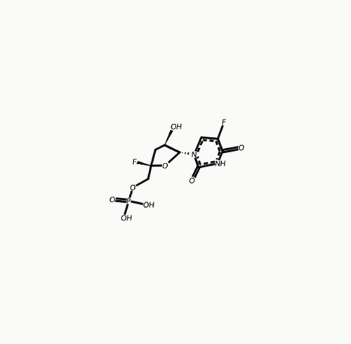 O=c1[nH]c(=O)n([C@@H]2O[C@](F)(COP(=O)(O)O)C[C@H]2O)cc1F